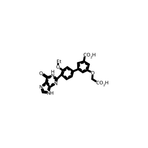 CCOc1cc(-c2cc(OCC(=O)O)cc(C(=O)O)c2)ccc1-c1nc2[nH]cnc2c(=O)[nH]1